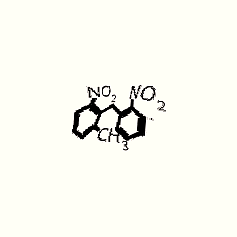 Cc1cccc([N+](=O)[O-])c1Cc1ccc[c]c1[N+](=O)[O-]